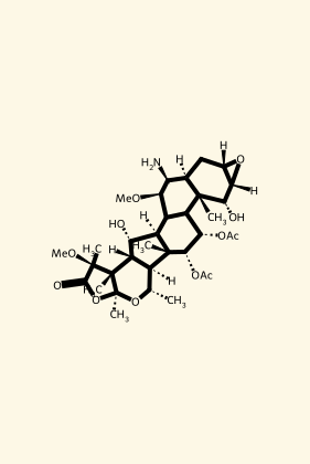 CO[C@@H]1C2C([C@H](OC(C)=O)[C@H](OC(C)=O)[C@]3(C)[C@@H]4[C@@H]([C@H](O)[C@@H]23)[C@]2(C)[C@](C)(OC(=O)[C@@]2(C)OC)O[C@H]4C)[C@]2(C)[C@H](C[C@@H]3O[C@@H]3[C@@H]2O)[C@@H]1N